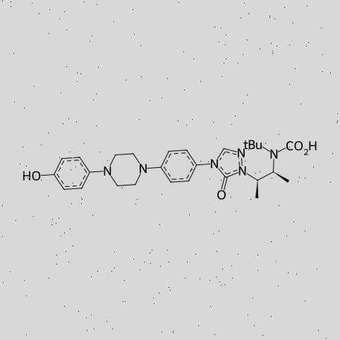 C[C@H]([C@H](C)N(C(=O)O)C(C)(C)C)n1ncn(-c2ccc(N3CCN(c4ccc(O)cc4)CC3)cc2)c1=O